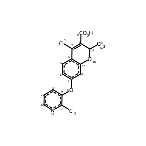 O=C(O)C1=C(Cl)c2ccc(Oc3cccnc3Cl)cc2OC1C(F)(F)F